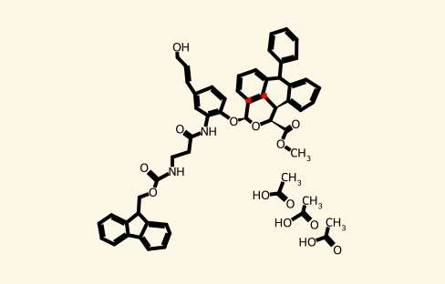 CC(=O)O.CC(=O)O.CC(=O)O.COC(=O)[C@H]1O[C@@H](Oc2ccc(/C=C/CO)cc2NC(=O)CCNC(=O)OCC2c3ccccc3-c3ccccc32)CC[C@H]1c1ccccc1C(c1ccccc1)c1ccccc1